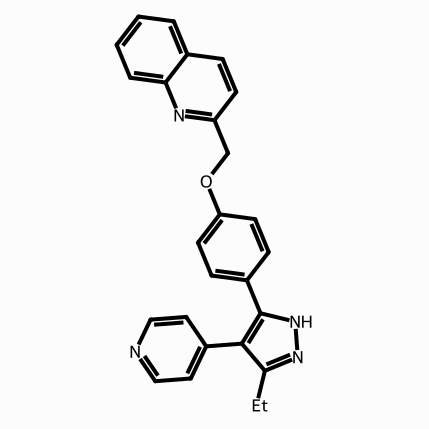 CCc1n[nH]c(-c2ccc(OCc3ccc4ccccc4n3)cc2)c1-c1ccncc1